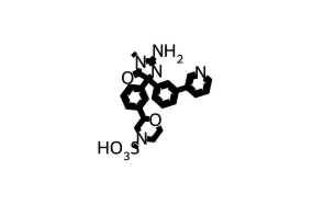 CN1C(=O)C(c2cccc(-c3cccnc3)c2)(c2cccc(C3CN(S(=O)(=O)O)CCO3)c2)N=C1N